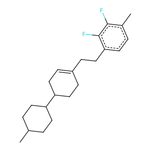 Cc1ccc(CCC2=CCC(C3CCC(C)CC3)CC2)c(F)c1F